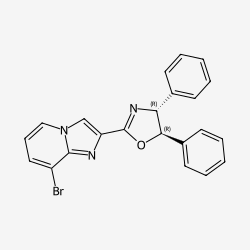 Brc1cccn2cc(C3=N[C@H](c4ccccc4)[C@@H](c4ccccc4)O3)nc12